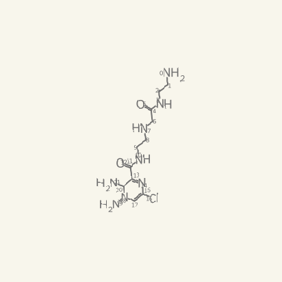 NCCNC(=O)CNCCNC(=O)C1=NC(Cl)=CN(N)C1N